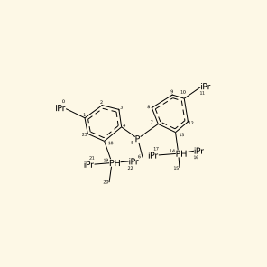 CC(C)c1ccc(P(C)c2ccc(C(C)C)cc2[PH](C)(C(C)C)C(C)C)c([PH](C)(C(C)C)C(C)C)c1